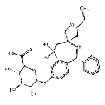 CCCC[C@]1(CC)CS(O)(O)c2cc(O[C@@H]3O[C@H](C(=O)O)[C@@H](O)[C@H](O)[C@H]3O)ccc2[C@@H](c2ccccc2)N1